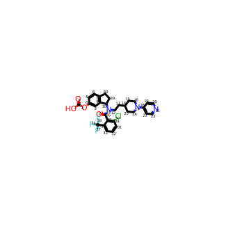 O=C(O)Oc1ccc2c(c1)C(N(CCC1CCN(c3ccncc3)CC1)C(=O)c1c(Cl)cccc1C(F)(F)F)CC2